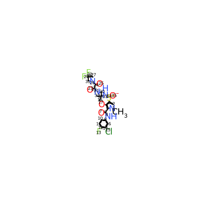 Cn1cc2c(c1C(=O)Nc1ccc(F)c(Cl)c1)OCC1(CN(C(=O)C(=O)N3CC(F)(F)C3)C1)N[S+]2[O-]